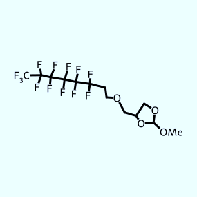 COC1OCC(COCCC(F)(F)C(F)(F)C(F)(F)C(F)(F)C(F)(F)C(F)(F)F)O1